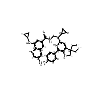 O=C(NCC(c1cc2c(c(-c3ccc(F)cc3)n1)OCC2(CF)CF)C1CC1)c1cc(OC2CC2)c2ncc(Cl)cc2c1